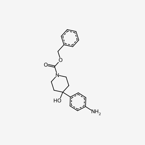 Nc1ccc(C2(O)CCN(C(=O)OCc3ccccc3)CC2)cc1